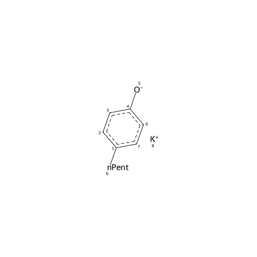 CCCCCc1ccc([O-])cc1.[K+]